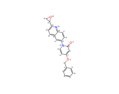 O=c1cc(OCc2ccccc2)ccn1-c1ccc2nc(C3CO3)ccc2c1